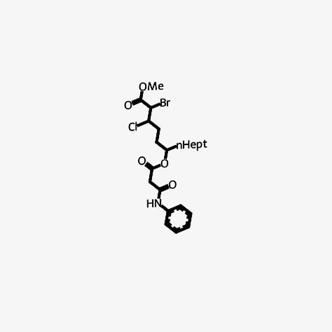 CCCCCCCC(CCC(Cl)C(Br)C(=O)OC)OC(=O)CC(=O)Nc1ccccc1